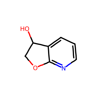 OC1COc2ncccc21